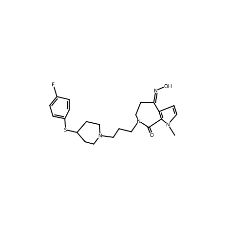 Cn1ccc2c1C(=O)N(CCCN1CCC(Sc3ccc(F)cc3)CC1)CC/C2=N/O